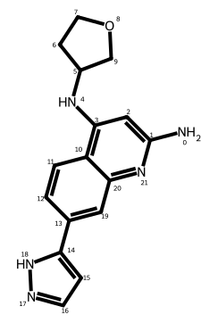 Nc1cc(NC2CCOC2)c2ccc(-c3ccn[nH]3)cc2n1